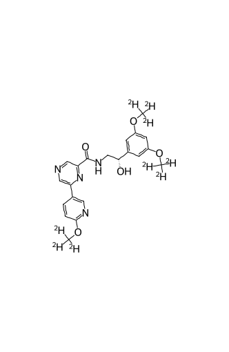 [2H]C([2H])([2H])Oc1cc(OC([2H])([2H])[2H])cc([C@H](O)CNC(=O)c2cncc(-c3ccc(OC([2H])([2H])[2H])nc3)n2)c1